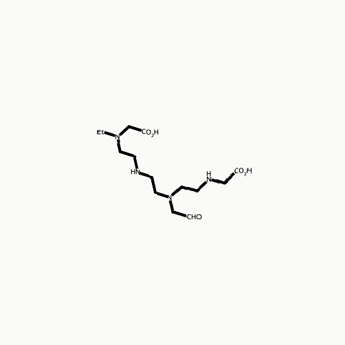 CCN(CCNCCN(CC=O)CCNCC(=O)O)CC(=O)O